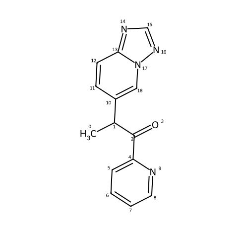 CC(C(=O)c1ccccn1)c1ccc2ncnn2c1